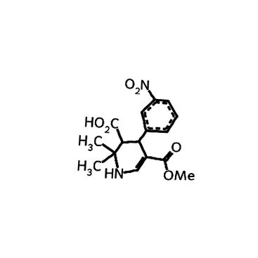 COC(=O)C1=CNC(C)(C)C(C(=O)O)C1c1cccc([N+](=O)[O-])c1